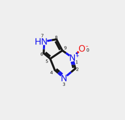 [O-][n+]1cncc2c[nH]cc21